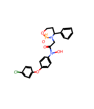 O=C(CN1C(c2ccccc2)CCO[PH]1=O)N(O)c1ccc(Oc2ccc(Cl)cc2)cc1